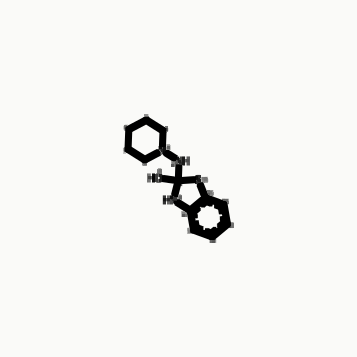 OC1(NN2CCCCC2)Nc2ccccc2S1